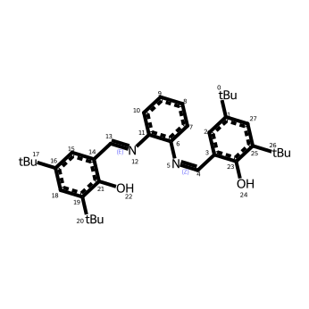 CC(C)(C)c1cc(/C=N\c2ccccc2/N=C/c2cc(C(C)(C)C)cc(C(C)(C)C)c2O)c(O)c(C(C)(C)C)c1